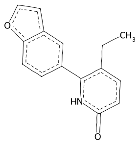 CCc1ccc(=O)[nH]c1-c1ccc2occc2c1